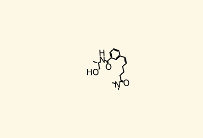 C[C@H](CO)NC(=O)c1cccc(/C=C\CCCC(=O)N(C)C)c1